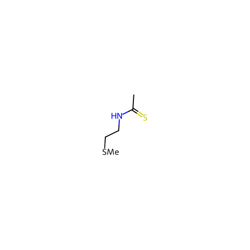 CSCCNC(C)=S